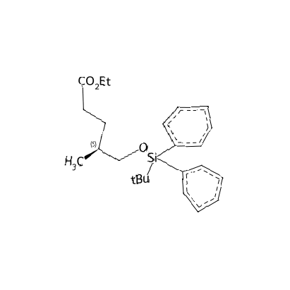 CCOC(=O)CC[C@H](C)CO[Si](c1ccccc1)(c1ccccc1)C(C)(C)C